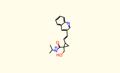 CC(C)NC(=O)C1(CO)CC1C=Cc1cnc2ccccc2c1